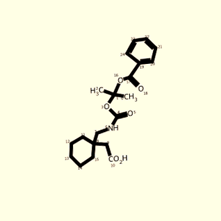 CC(C)(OC(=O)NCC1(CC(=O)O)CCCCC1)OC(=O)c1ccccc1